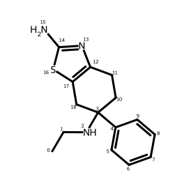 CCNC1(c2ccccc2)CCc2nc(N)sc2C1